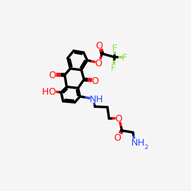 NCC(=O)OCCCNc1ccc(O)c2c1C(=O)c1c(OC(=O)C(F)(F)F)cccc1C2=O